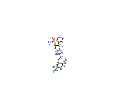 NS(=O)(=O)c1ccccc1-c1ccc2[nH]c(CCc3cc(C(F)(F)F)ccc3C(F)(F)F)nc2c1